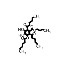 CCCCCC(=O)Oc1c(O)c(O)c(C(=O)CCCCC)c(C(=O)OCCCC)c1C(=O)CCCCC